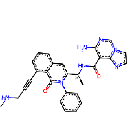 CNCC#Cc1cccc2cc([C@H](C)NC(=O)c3c(N)ncn4ccnc34)n(-c3ccccc3)c(=O)c12